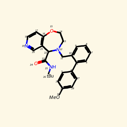 COc1ccc(-c2ccccc2CN2CCOc3ccncc3C2C(=O)NC(C)(C)C)cc1